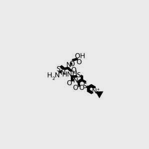 Nc1nc(/C(=N/OCC(=O)O)C(=O)N[C@@H]2C(=O)N3C(C(=O)[O-])=C(CSc4cc[n+](C5CC5)cc4)CS[C@H]23)cs1